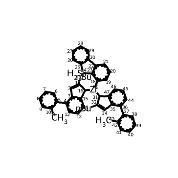 CCCCC1=Cc2c(-c3ccccc3C)cccc2[CH]1[Zr]([c]1cccc2c1[SiH2]c1ccccc1-2)[CH]1C(CCCC)=Cc2c(-c3ccccc3C)cccc21